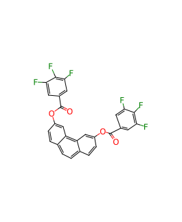 O=C(Oc1ccc2ccc3ccc(OC(=O)c4cc(F)c(F)c(F)c4)cc3c2c1)c1cc(F)c(F)c(F)c1